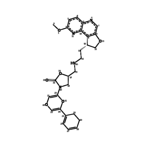 COc1ccc2ncc3c(c2n1)[C@@H](CCNCC1CN(C2=COC=C(C4=CC=CCC4)O2)C(=O)O1)CO3